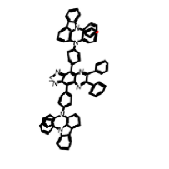 c1ccc(-c2nc3c(-c4ccc(N(c5ccccc5)c5cccc6c7ccccc7n(-c7ccccc7)c56)cc4)c4nsnc4c(-c4ccc(N(c5ccccc5)c5cccc6c7ccccc7n(-c7ccccc7)c56)cc4)c3nc2-c2ccccc2)cc1